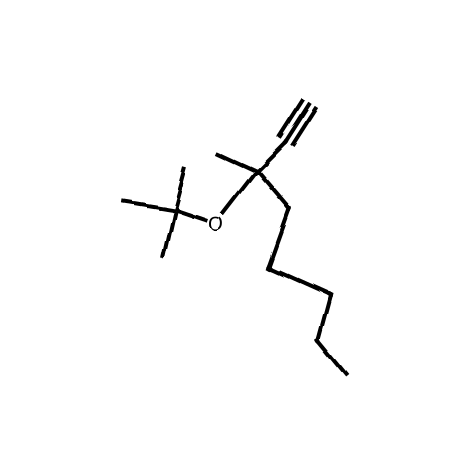 C#CC(C)(CCCCC)OC(C)(C)C